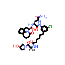 CC(C)(C)[C@H](NC(=O)CCCCCc1cc(Cl)cc(NC(=O)[C@H](CCC(N)=O)NC(=O)[C@@H]2Cc3cccc4c3N2C(=O)CCC4)c1)C(=O)N1CC[C@@H](O)C1